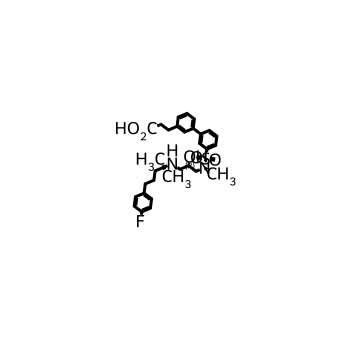 CN(C[C@H](O)CNC(C)(C)CCCc1ccc(F)cc1)S(=O)(=O)c1cccc(-c2cccc(CCC(=O)O)c2)c1